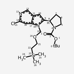 CC(C)(C)OC(=O)N1CCC[C@@H]1c1cc2cnc(Cl)cc2n1COCC[Si](C)(C)C